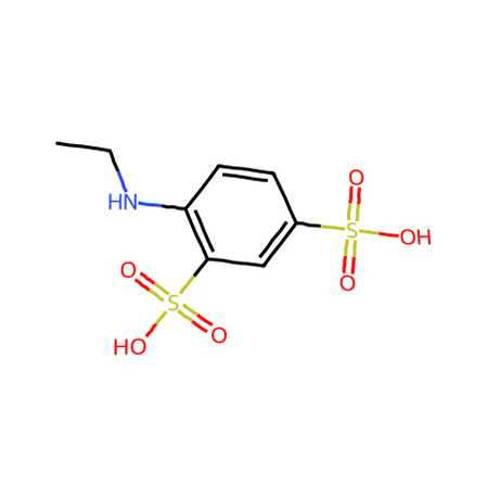 CCNc1ccc(S(=O)(=O)O)cc1S(=O)(=O)O